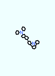 c1ccc(N(c2ccccc2)c2ccc3cc(-c4ccc5c6cccc7c8ccccc8n(c5c4)c76)ccc3c2)cc1